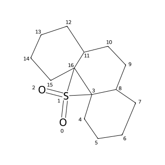 O=S1(=O)C23CCCCC2CCC2CCCCC231